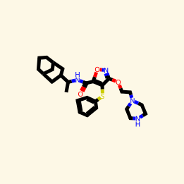 CC(NC(=O)c1onc(OCCN2CCNCC2)c1Sc1ccccc1)C1CC2CCCC(C2)C1